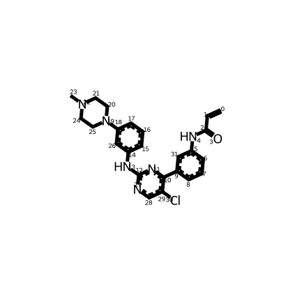 C=CC(=O)Nc1cccc(-c2nc(Nc3cccc(N4CCN(C)CC4)c3)ncc2Cl)c1